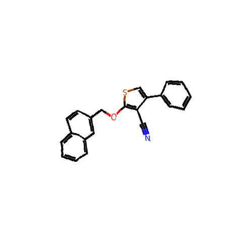 N#Cc1c(-c2ccccc2)csc1OCc1ccc2ccccc2c1